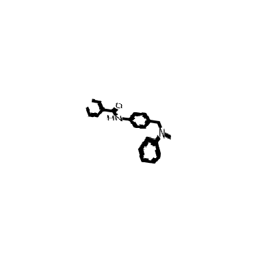 C/C=C\C(=C/C)C(=O)Nc1ccc(CN(C)c2ccccc2)cc1